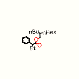 CCCCCCC(CCCC)COC(=O)C(CC)c1ccccc1